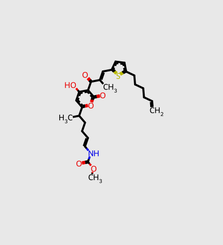 C=CCCCCc1ccc(/C=C(\C)C(=O)c2c(O)cc(C(C)CC/C=C/NC(=O)OC)oc2=O)s1